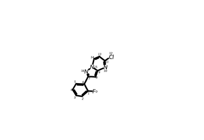 Fc1ccccc1-c1cc2nc(Cl)ccn2n1